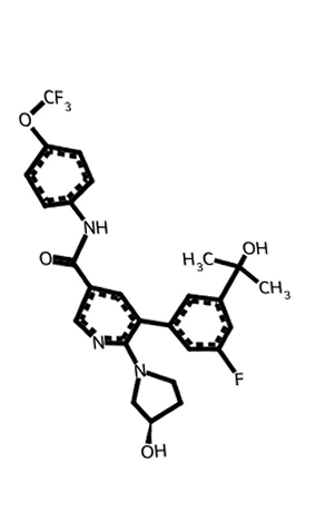 CC(C)(O)c1cc(F)cc(-c2cc(C(=O)Nc3ccc(OC(F)(F)F)cc3)cnc2N2CC[C@@H](O)C2)c1